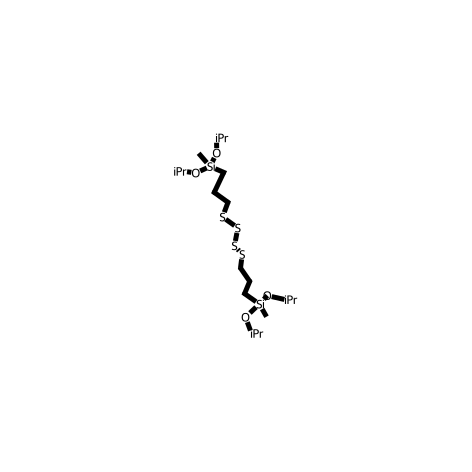 CC(C)O[Si](C)(CCCSSSSCCC[Si](C)(OC(C)C)OC(C)C)OC(C)C